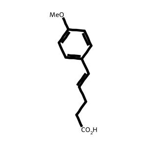 COc1ccc(/C=C/CCC(=O)O)cc1